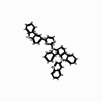 c1ccc2ncc(-n3c4ccccc4c4ccc5c(c6ccccc6n5-c5nccc(-c6ccc7sc8ccccc8c7c6)n5)c43)cc2c1